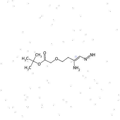 CC(C)(C)OC(=O)COCC/C(N)=C/N=N